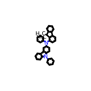 CC1(C)c2ccccc2-c2cccc(N(c3ccccc3)c3ccc4c(c3)c3ccccc3n4-c3ccccc3)c21